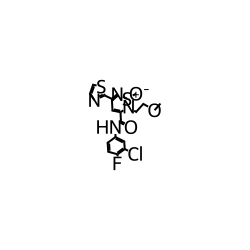 COCCN1C(C(=O)Nc2ccc(F)c(Cl)c2)=CC(c2nccs2)=N[S+]1[O-]